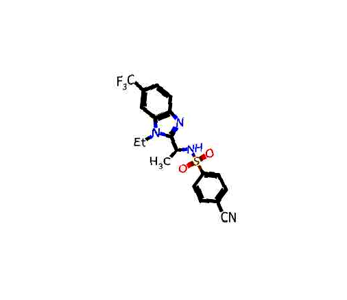 CCn1c(C(C)NS(=O)(=O)c2ccc(C#N)cc2)nc2ccc(C(F)(F)F)cc21